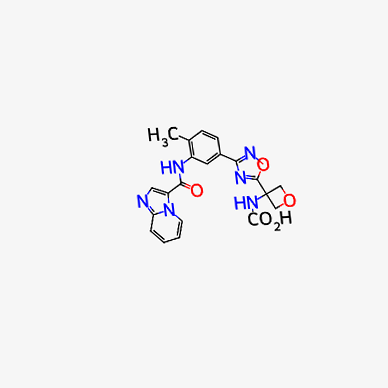 Cc1ccc(-c2noc(C3(NC(=O)O)COC3)n2)cc1NC(=O)c1cnc2ccccn12